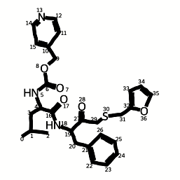 CC(C)CC(NC(=O)OCc1ccncc1)C(=O)NC(Cc1ccccc1)C(=O)CSCc1ccco1